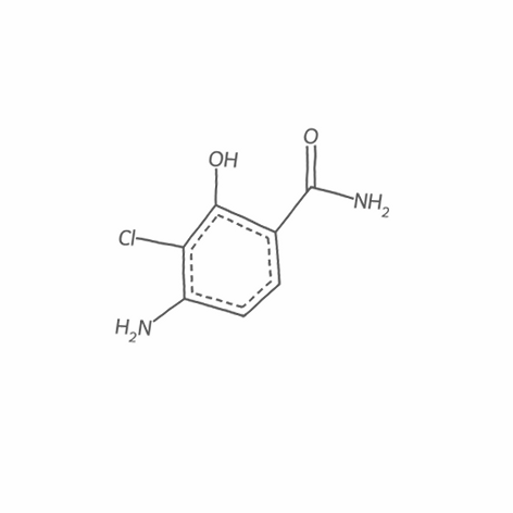 NC(=O)c1ccc(N)c(Cl)c1O